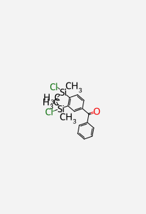 C[Si](C)(Cl)c1ccc(C(=O)c2ccccc2)cc1[Si](C)(C)Cl